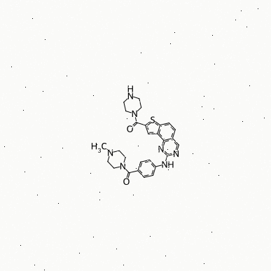 CN1CCN(C(=O)c2ccc(Nc3ncc4ccc5sc(C(=O)N6CCNCC6)cc5c4n3)cc2)CC1